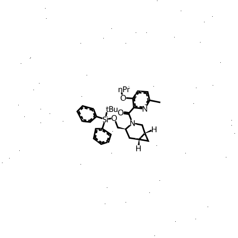 CCCOc1ccc(C)nc1C(=O)N1C[C@@H]2C[C@@H]2C[C@H]1CO[Si](c1ccccc1)(c1ccccc1)C(C)(C)C